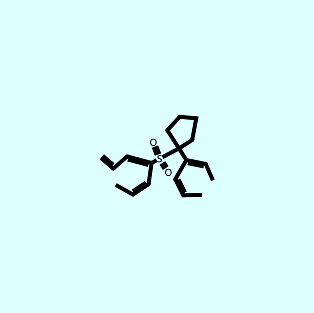 C=C/C=C(\C=C/C)S(=O)(=O)C1(C(/C=C\C)=C/C)CCCC1